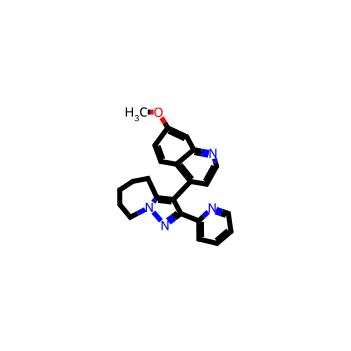 COc1ccc2c(-c3c(-c4ccccn4)nn4c3CCCCC4)ccnc2c1